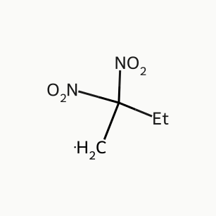 [CH2]C(CC)([N+](=O)[O-])[N+](=O)[O-]